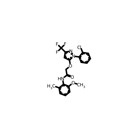 COc1cccc(C)c1NC(=O)COc1cc(C(F)(F)F)nn1-c1ccccc1Cl